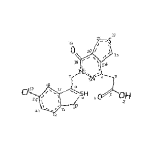 O=C(O)Cc1nn(CC2=[SH]Cc3ccc(Cl)cc32)c(=O)c2cscc12